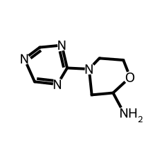 NC1CN(c2ncncn2)CCO1